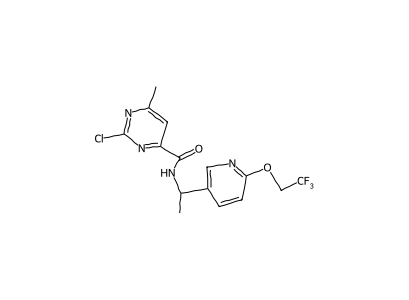 Cc1cc(C(=O)NC(C)c2ccc(OCC(F)(F)F)nc2)nc(Cl)n1